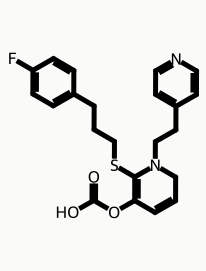 O=C(O)OC1=C(SCCCc2ccc(F)cc2)N(CCc2ccncc2)CC=C1